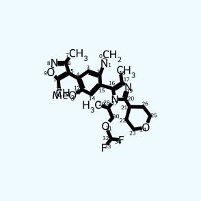 C=Nc1cc(-c2c(C)noc2C)c(OC)cc1-c1c(C)nc(C2CCOCC2)n1C(C)COC(F)F